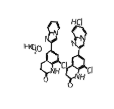 Cl.Cl.O.O=C1CCc2cc(-c3cn4ccccc4n3)cc(Cl)c2N1.O=C1CCc2cc(-c3cn4ccccc4n3)cc(Cl)c2N1